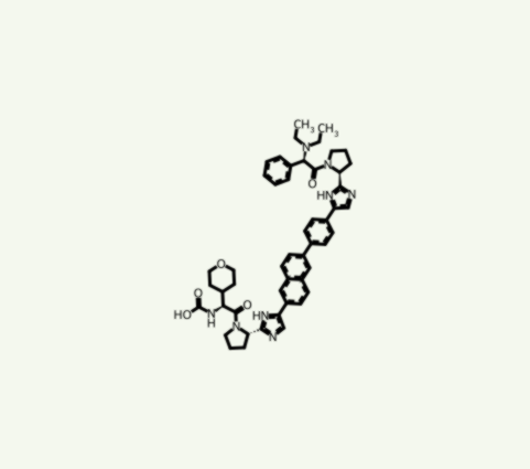 CCN(CC)[C@@H](C(=O)N1CCC[C@H]1c1ncc(-c2ccc(-c3ccc4cc(-c5cnc([C@@H]6CCCN6C(=O)[C@@H](NC(=O)O)C6CCOCC6)[nH]5)ccc4c3)cc2)[nH]1)c1ccccc1